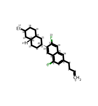 C=CCCc1cc(F)c2cc([C@@H]3CC[C@@H]4CC(CC)CCC4C3)c(F)cc2c1